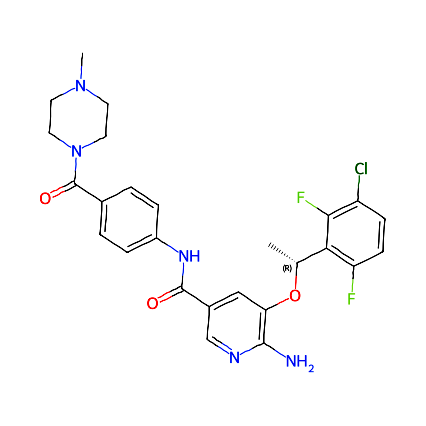 C[C@@H](Oc1cc(C(=O)Nc2ccc(C(=O)N3CCN(C)CC3)cc2)cnc1N)c1c(F)ccc(Cl)c1F